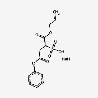 C=CCOC(=O)C(CC(=O)Oc1ccccc1)S(=O)(=O)O.[NaH]